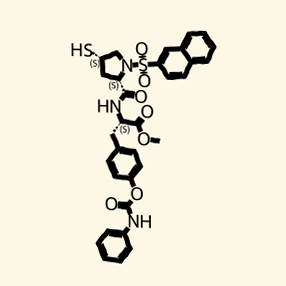 COC(=O)[C@H](Cc1ccc(OC(=O)Nc2ccccc2)cc1)NC(=O)[C@@H]1C[C@H](S)CN1S(=O)(=O)c1ccc2ccccc2c1